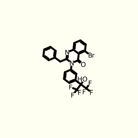 O=c1c2c(Br)cccc2nc(Cc2ccccc2)n1-c1cccc(C(O)(C(F)(F)F)C(F)(F)F)c1